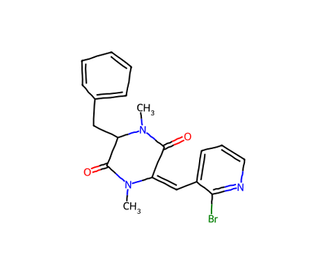 CN1C(=O)C(Cc2ccccc2)N(C)C(=O)/C1=C\c1cccnc1Br